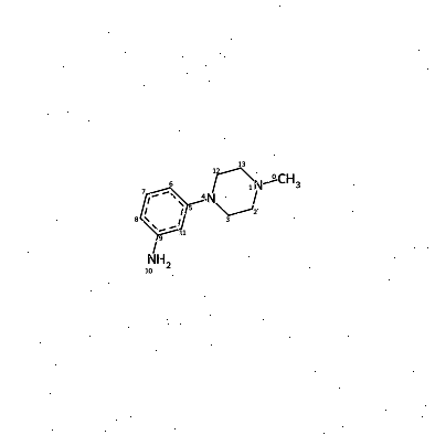 CN1CCN(c2c[c]cc(N)c2)CC1